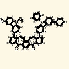 COc1ccc2c(c1)c1cc(-c3cccc4c(=O)c5ccc6c(=O)c7cccc(-c8ccc9c(c8)c8cc(-c%10ccccc%10)ccc8n9-c8ccccc8)c7ccc6c5ccc34)ccc1n2OC